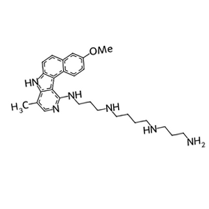 COc1ccc2c(ccc3[nH]c4c(C)cnc(NCCCNCCCCNCCCN)c4c32)c1